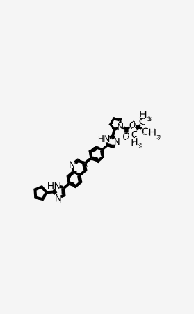 CC(C)(C)OC(=O)N1CCCC1c1ncc(-c2ccc(-c3cnc4cc(-c5cnc(C6CCCC6)[nH]5)ccc4c3)cc2)[nH]1